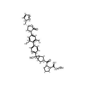 CC(C)(C)OC(=O)N1CCC[C@H]1C(=O)N1CC2C(C1)C2(C#N)c1ccc(-c2c(F)cc(N3C[C@H](Cn4ccnn4)OC3=O)cc2F)cn1